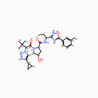 CCC(NC(=O)C1CC(O)CN1C(=O)C(n1cc(C2CC2)nn1)C(C)(C)C)c1noc(-c2cccc(C)c2)n1